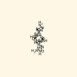 Nc1nc2c(ncn2[C@@H]2S[C@@H]3COP(=O)(O)O[C@@H]4C(COP(=O)(S)O[C@@H]2[C@H]3F)O[C@@H](n2nnc3c(N)ncnc32)[C@H]4F)c(=O)[nH]1